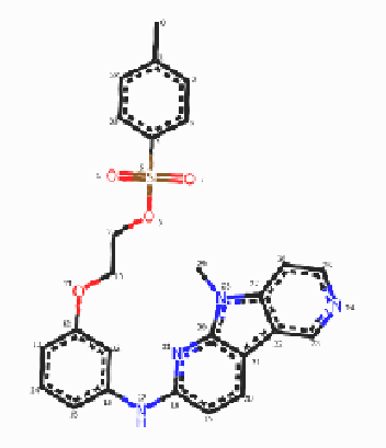 Cc1ccc(S(=O)(=O)OCCOc2cccc(Nc3ccc4c5cnccc5n(C)c4n3)c2)cc1